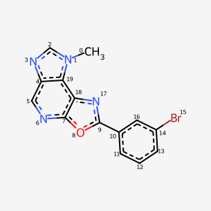 Cn1cnc2cnc3oc(-c4cccc(Br)c4)nc3c21